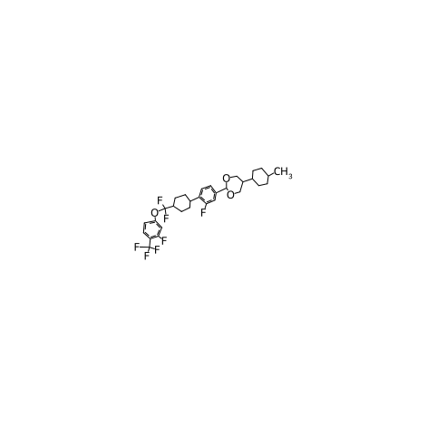 CC1CCC(C2COC(c3ccc(C4CCC(C(F)(F)Oc5ccc(C(F)(F)F)c(F)c5)CC4)c(F)c3)OC2)CC1